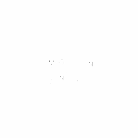 C=NC/C(CC(C)C)=C(/N=C(\I)CC)OC